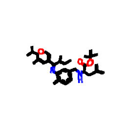 C/C=C(\C=C(\C)C(=O)C(C)C)C(=N/c1cc(CNC(CC(C)C)C(=O)OC(C)(C)C)ccc1C)/C(C)CC